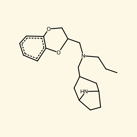 CCCN(CC1CC2CCC(C1)N2)CC1COc2ccccc2O1